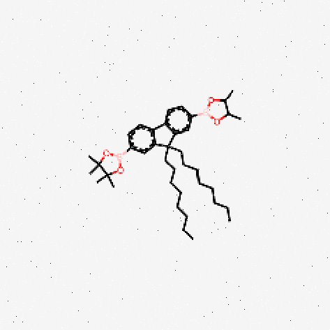 CCCCCCCCC1(CCCCCCCC)c2cc(B3OC(C)C(C)O3)ccc2-c2ccc(B3OC(C)(C)C(C)(C)O3)cc21